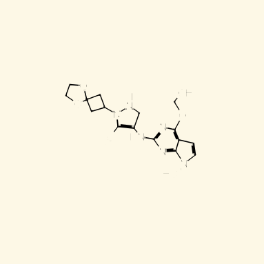 CCOc1nc(NC2=C(C)N(C3CC4(C3)OCCO4)NC2)nc2c1ccn2C